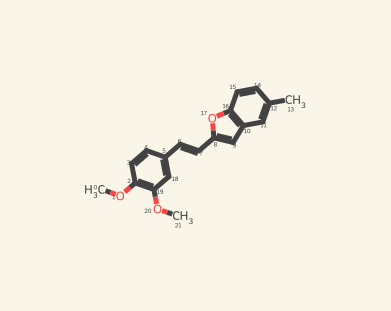 COc1ccc(/C=C/c2cc3cc(C)ccc3o2)cc1OC